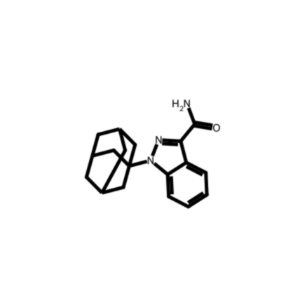 NC(=O)c1nn(C23CC4CC(CC(C4)C2)C3)c2ccccc12